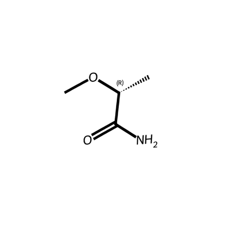 CO[C@H](C)C(N)=O